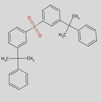 CC(C)(c1ccccc1)c1cccc(S(=O)(=O)c2cccc(C(C)(C)c3ccccc3)c2)c1